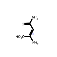 NC(=O)/C=C(/N)C(=O)O